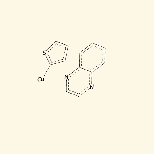 [Cu][c]1cccs1.c1ccc2nccnc2c1